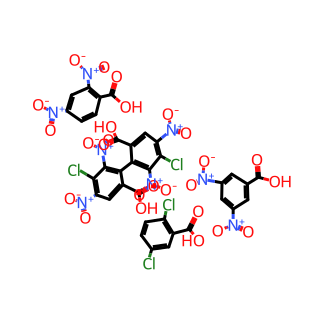 O=C(O)c1cc(Cl)ccc1Cl.O=C(O)c1cc([N+](=O)[O-])c(Cl)c([N+](=O)[O-])c1-c1c(C(=O)O)cc([N+](=O)[O-])c(Cl)c1[N+](=O)[O-].O=C(O)c1cc([N+](=O)[O-])cc([N+](=O)[O-])c1.O=C(O)c1ccc([N+](=O)[O-])cc1[N+](=O)[O-]